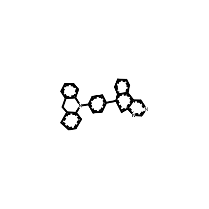 c1ccc2c(c1)Cc1ccccc1N2c1ccc(-c2cc3ncncc3c3ccccc23)cc1